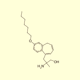 CCCCCCCOc1ccc2c(c1)CC=CC=C2CC(C)(N)CO